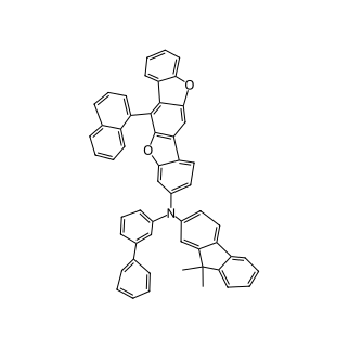 CC1(C)c2ccccc2-c2ccc(N(c3cccc(-c4ccccc4)c3)c3ccc4c(c3)oc3c(-c5cccc6ccccc56)c5c(cc34)oc3ccccc35)cc21